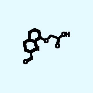 O=Cc1ccc2cccc(OCC(=O)O)c2n1